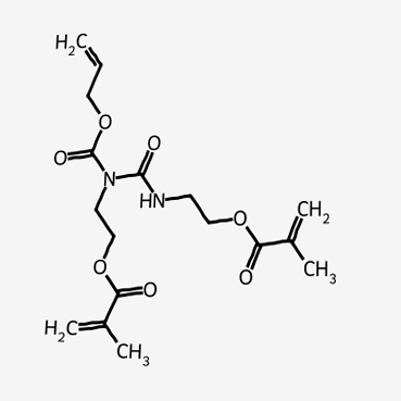 C=CCOC(=O)N(CCOC(=O)C(=C)C)C(=O)NCCOC(=O)C(=C)C